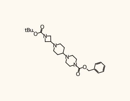 CC(C)(C)OC(=O)N1CC(N2CCC(N3CCN(C(=O)OCc4ccccc4)CC3)CC2)C1